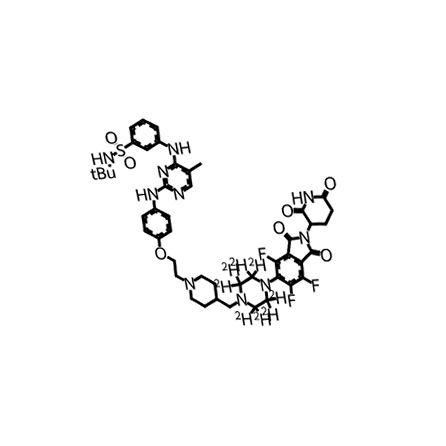 [2H]C1([2H])N(CC2CCN(CCOc3ccc(Nc4ncc(C)c(Nc5cccc(S(=O)(=O)NC(C)(C)C)c5)n4)cc3)CC2)C([2H])([2H])C([2H])([2H])N(c2c(F)c(F)c3c(c2F)C(=O)N(C2CCC(=O)NC2=O)C3=O)C1([2H])[2H]